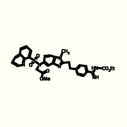 CCOC(=O)NC(=N)c1ccc(CCc2nc3cc(N(CC(=O)OC)S(=O)(=O)c4cccc5cccnc45)ccc3n2C)cc1